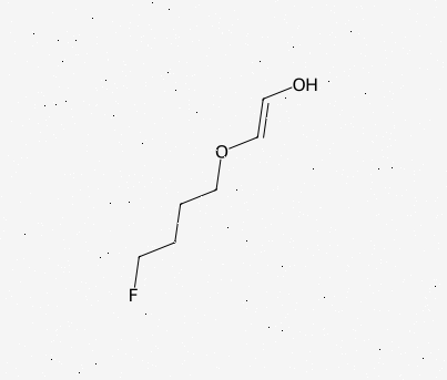 OC=COCCCCF